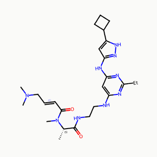 CCc1nc(NCCNC(=O)[C@H](C)N(C)C(=O)/C=C/CN(C)C)cc(Nc2cc(C3CCC3)[nH]n2)n1